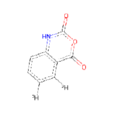 [2H]c1ccc2[nH]c(=O)oc(=O)c2c1[2H]